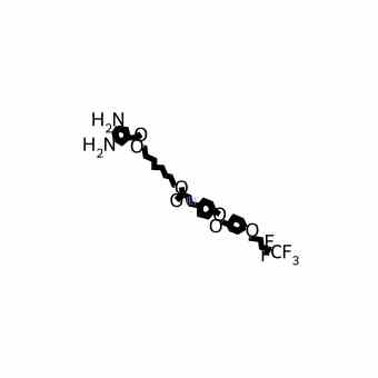 Nc1cc(N)cc(C(=O)OCCCCCCCCOC(=O)/C=C/c2ccc(OC(=O)c3ccc(OCCCC(F)(F)C(F)(F)F)cc3)cc2)c1